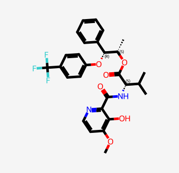 COc1ccnc(C(=O)N[C@H](C(=O)O[C@@H](C)[C@H](Oc2ccc(C(F)(F)F)cc2)c2ccccc2)C(C)C)c1O